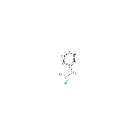 FC(F)Oc1c[c]ccc1